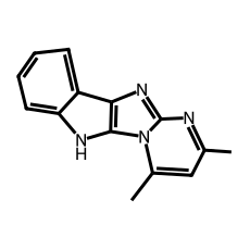 Cc1cc(C)n2c(n1)nc1c3ccccc3[nH]c12